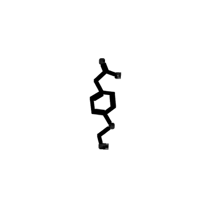 O=C(Cl)Cc1ccc(OCO)cc1